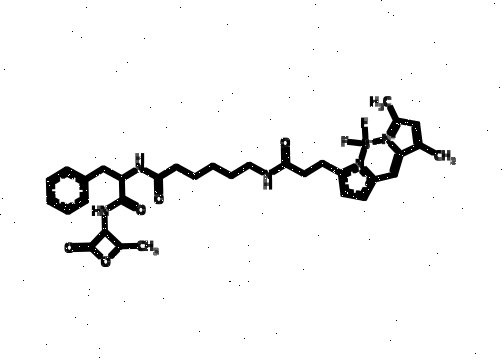 CC1=CC(C)=[N+]2C1=Cc1ccc(CCC(=O)NCCCCCC(=O)NC(Cc3ccccc3)C(=O)NC3C(=O)OC3C)n1[B-]2(F)F